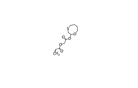 C=CC(=O)OCC(=O)OC1CSCCCCO1